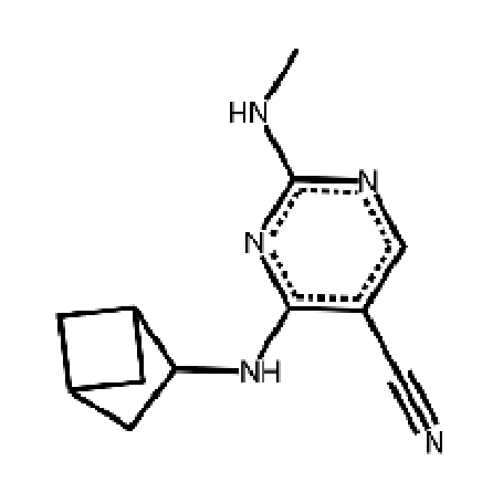 CNc1ncc(C#N)c(NC2CC3CC2C3)n1